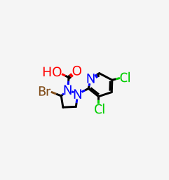 O=C(O)N1C(Br)CCN1c1ncc(Cl)cc1Cl